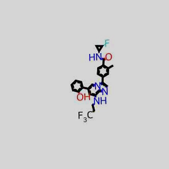 Cc1cc(-c2cnc3c(NCCC(F)(F)F)cc(-c4ccccc4O)cn23)ccc1C(=O)N[C@H]1C[C@@H]1F